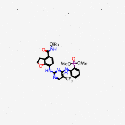 COP(=O)(OC)c1ccccc1Nc1nc(Nc2ccc(C(=O)NOCC(C)C)c3c2OCC3)ncc1C(F)(F)F